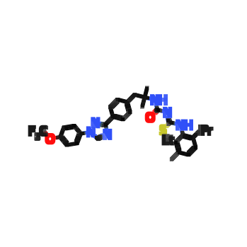 CCS/C(=N\C(=O)NC(C)(C)Cc1ccc(-c2ncn(-c3ccc(OC(F)(F)F)cc3)n2)cc1)Nc1cc(C)ccc1C(C)C